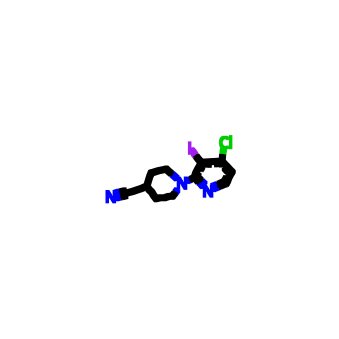 N#CC1CCN(c2nccc(Cl)c2I)CC1